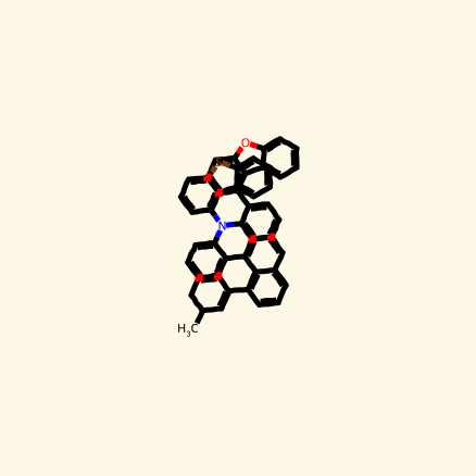 CC1C=C(c2cccc3cccc(-c4ccccc4N(c4ccccc4-c4cccc5oc6ccccc6c45)c4cccc5sc6ccccc6c45)c23)C=CC1